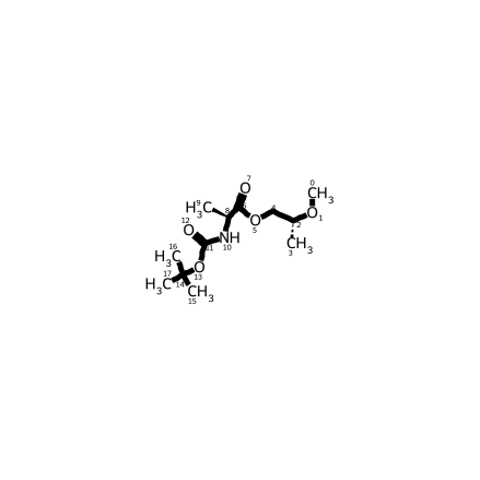 CO[C@H](C)COC(=O)[C@H](C)NC(=O)OC(C)(C)C